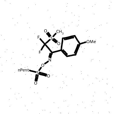 CCCCCS(=O)(=O)ON=C(c1ccc(OC)cc1)C(F)(F)S(C)(=O)=O